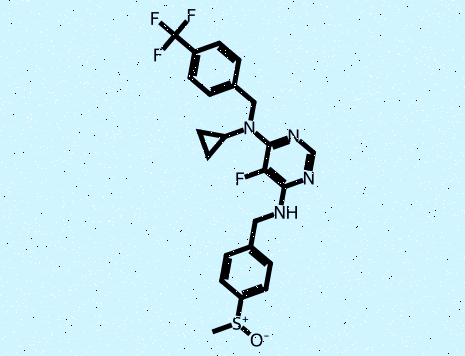 C[S+]([O-])c1ccc(CNc2ncnc(N(Cc3ccc(C(F)(F)F)cc3)C3CC3)c2F)cc1